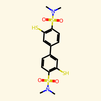 CN(C)S(=O)(=O)c1ccc(-c2ccc(S(=O)(=O)N(C)C)c(S)c2)cc1S